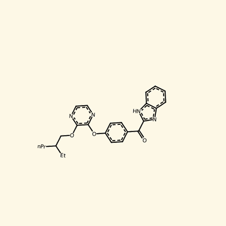 CCCC(CC)COc1nccnc1Oc1ccc(C(=O)c2nc3ccccc3[nH]2)cc1